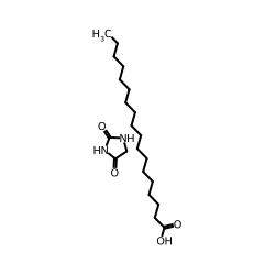 CCCCCCCCCCCCCCCCCC(=O)O.O=C1CNC(=O)N1